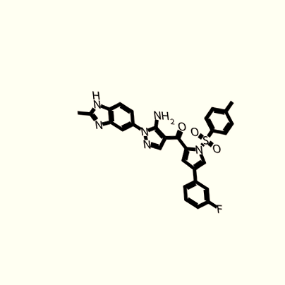 Cc1ccc(S(=O)(=O)n2cc(-c3cccc(F)c3)cc2C(=O)c2cnn(-c3ccc4[nH]c(C)nc4c3)c2N)cc1